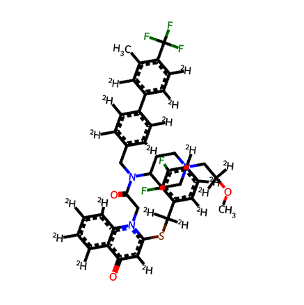 [2H]c1c([2H])c(F)c(F)c(C([2H])([2H])Sc2c([2H])c(=O)c3c([2H])c([2H])c([2H])c([2H])c3n2CC(=O)N(Cc2c([2H])c([2H])c(-c3c([2H])c([2H])c(C(F)(F)F)c(C)c3[2H])c([2H])c2[2H])C2CCN(CC([2H])([2H])OC)CC2)c1[2H]